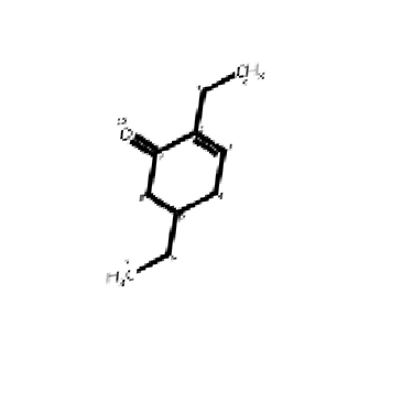 CCC1=CCC(CC)CC1=O